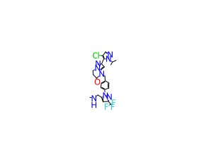 CNCc1cc(C(F)(F)F)nn1-c1ccc(CN2C(=O)CCn3nc(-c4c(Cl)cnn4C(C)C)cc32)cc1